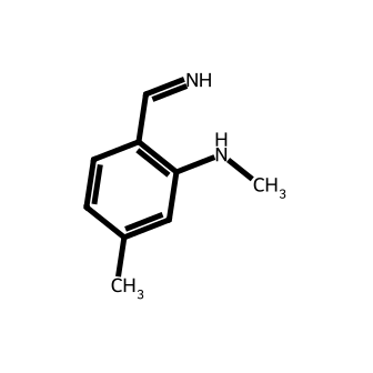 CNc1cc(C)ccc1C=N